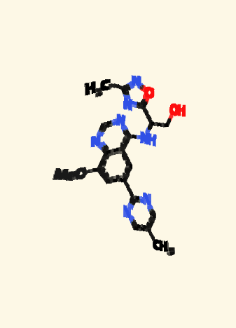 COc1cc(-c2ncc(C)cn2)cc2c(NC(CO)c3nc(C)no3)ncnc12